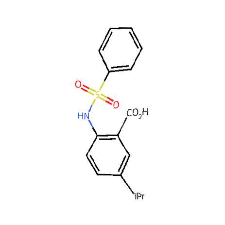 CC(C)c1ccc(NS(=O)(=O)c2ccccc2)c(C(=O)O)c1